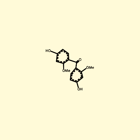 COc1cc(O)ccc1C(=O)c1ccc(O)cc1OC